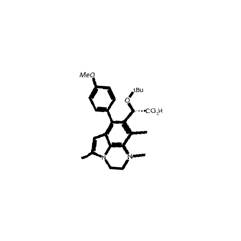 COc1ccc(-c2c([C@H](OC(C)(C)C)C(=O)O)c(C)c3c4c2cc(C)n4CCN3C)cc1